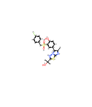 Cc1nc2sc(C(C)(C)O)nn2c1-c1ccc(O)c(S(=O)(=O)Cc2ccc(F)cc2)c1